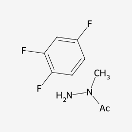 CC(=O)N(C)N.Fc1ccc(F)c(F)c1